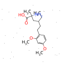 CCC(CCc1ccc(OC)cc1OC)CC(C)(N)C(=O)O